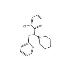 Clc1ccccc1C(Cc1ccccc1)N1CCCCC1